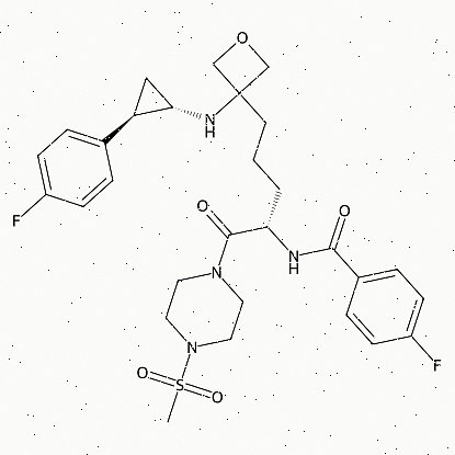 CS(=O)(=O)N1CCN(C(=O)[C@H](CCCC2(N[C@H]3C[C@@H]3c3ccc(F)cc3)COC2)NC(=O)c2ccc(F)cc2)CC1